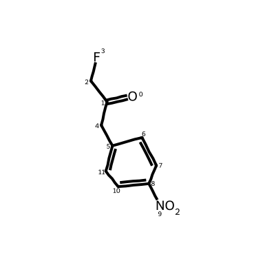 O=C(CF)Cc1ccc([N+](=O)[O-])cc1